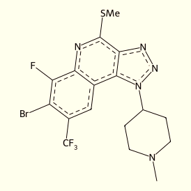 CSc1nc2c(F)c(Br)c(C(F)(F)F)cc2c2c1nnn2C1CCN(C)CC1